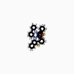 c1ccc(-n2c3ccccc3c3cccc(N(c4ccc5sc6ccccc6c5c4)c4cc5ccccc5c5sc6ccccc6c45)c32)cc1